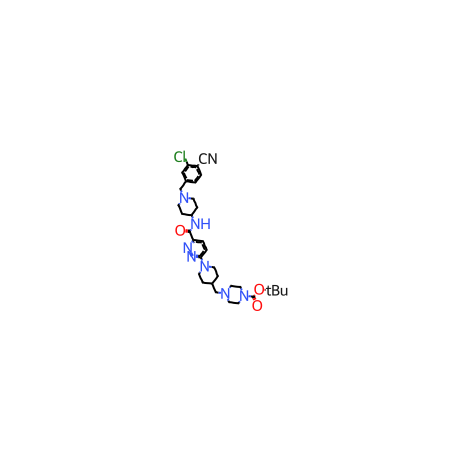 CC(C)(C)OC(=O)N1CCN(CC2CCN(c3ccc(C(=O)NC4CCN(Cc5ccc(C#N)c(Cl)c5)CC4)nn3)CC2)CC1